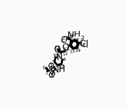 C=CS(=O)(=O)NC1CCN(C(=O)COc2ccc(Cl)cc2C(N)=O)CC1